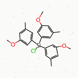 COc1cc(C)cc([Si](Cl)(c2cc(C)cc(OC)c2)c2cc(C)cc(OC)c2)c1